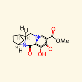 COC(=O)c1cn2c(c(O)c1=O)C(=O)N1[C@H]3CC[C@H](C3)[C@@H]1C2